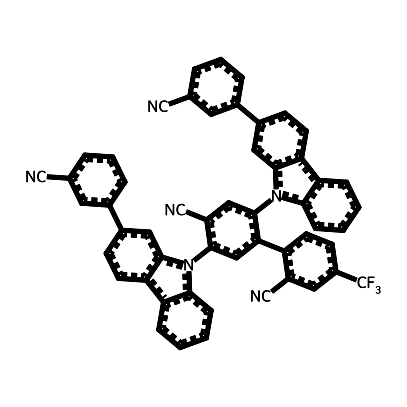 N#Cc1cccc(-c2ccc3c4ccccc4n(-c4cc(-c5ccc(C(F)(F)F)cc5C#N)c(-n5c6ccccc6c6ccc(-c7cccc(C#N)c7)cc65)cc4C#N)c3c2)c1